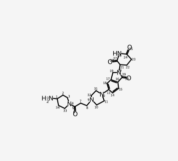 NC1CCN(C(=O)CCN2CCN(c3ccc4c(c3)CN(C3CCC(=O)NC3=O)C4=O)CC2)CC1